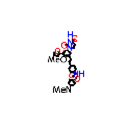 CNc1ccc(S(=O)(=O)Nc2ccc(/C=C/c3cc(-n4ccc(=O)[nH]c4=O)cc(-c4ccco4)c3OC)cc2)cc1